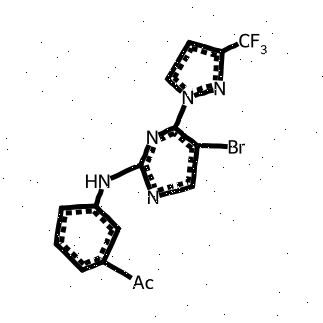 CC(=O)c1cccc(Nc2ncc(Br)c(-n3ccc(C(F)(F)F)n3)n2)c1